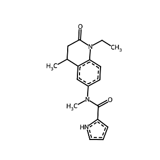 CCN1C(=O)CC(C)c2cc(N(C)C(=O)c3ccc[nH]3)ccc21